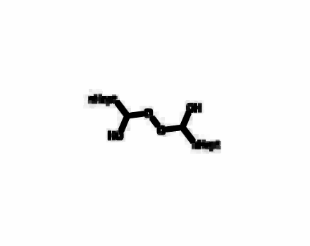 CCCCCCCC(O)OOC(O)CCCCCCC